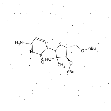 CCCCOC[C@H]1SC(n2ccc(N)nc2=O)C(C)(O)[C@@H]1OCCCC